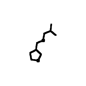 CC(C)COCC1CCOC1